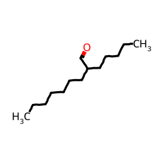 CCCCCCCC(C=O)CCCCC